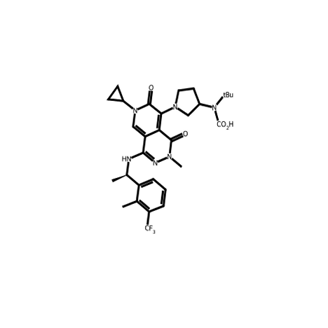 Cc1c([C@@H](C)Nc2nn(C)c(=O)c3c(N4CCC(N(C(=O)O)C(C)(C)C)C4)c(=O)n(C4CC4)cc23)cccc1C(F)(F)F